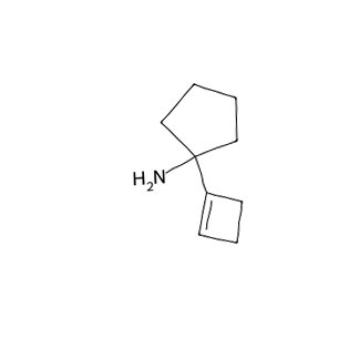 NC1(C2=CCC2)CCCC1